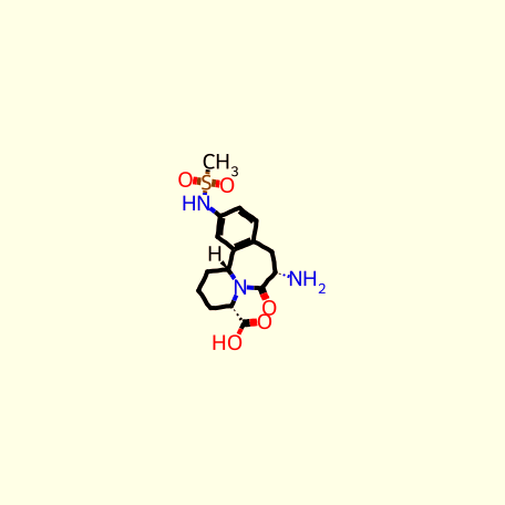 CS(=O)(=O)Nc1ccc2c(c1)[C@H]1CCC[C@@H](C(=O)O)N1C(=O)[C@@H](N)C2